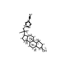 CC(C)(Cn1cc(C#N)cn1)C1CC[C@H]2[C@@H]3CC[C@@H]4C[C@](C)(O)CC[C@@H]4[C@H]3CC[C@]12C